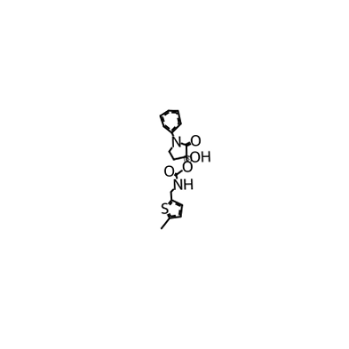 Cc1ccc(CNC(=O)O[C@@]2(O)CCN(c3ccccc3)C2=O)s1